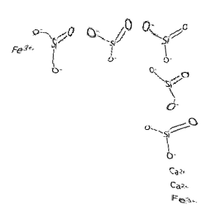 O=[Si]([O-])[O-].O=[Si]([O-])[O-].O=[Si]([O-])[O-].O=[Si]([O-])[O-].O=[Si]([O-])[O-].[Ca+2].[Ca+2].[Fe+3].[Fe+3]